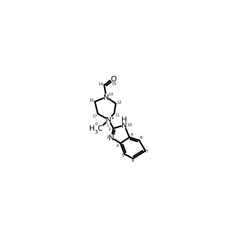 C[N+]1(c2nc3ccccc3[nH]2)CCN(C=O)CC1